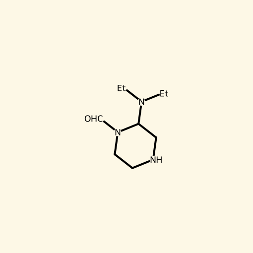 CCN(CC)C1CNCCN1C=O